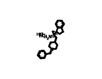 Cl.Cl.N[C@]1(CC2CCN(Cc3ccccc3)CC2)C[C@]12CCc1ccccc12